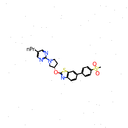 CCCc1cnc(N2CC[C@H](Oc3nc4ccc(-c5ccc(S(C)(=O)=O)cc5)cc4s3)C2)nc1